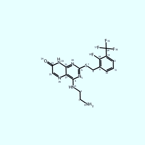 NCCNc1nc(SCc2cccc(C(F)(F)F)c2F)nc2[nH]c(=O)cnc12